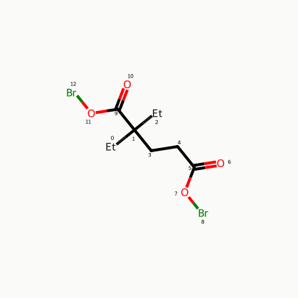 CCC(CC)(CCC(=O)OBr)C(=O)OBr